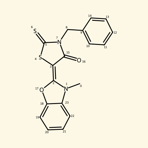 CN1C(=C2SC(=S)N(Cc3ccccc3)C2=O)Oc2ccccc21